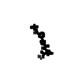 Cn1cc(NC(=O)c2coc(-c3ccnc(NCCS(C)(=O)=O)c3)n2)c(C(N)=O)n1